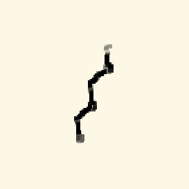 [CH2]OCOCCl